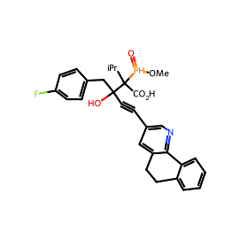 CO[PH](=O)C(C(=O)O)(C(C)C)C(O)(C#Cc1cnc2c(c1)CCc1ccccc1-2)Cc1ccc(F)cc1